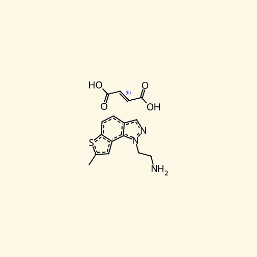 Cc1cc2c(ccc3cnn(CCN)c32)s1.O=C(O)/C=C/C(=O)O